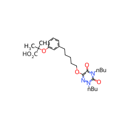 CCCCn1nc(OCCCCCc2cccc(OC(C)(C)C(=O)O)c2)c(=O)n(CCCC)c1=O